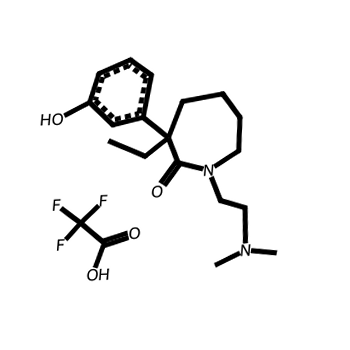 CCC1(c2cccc(O)c2)CCCCN(CCN(C)C)C1=O.O=C(O)C(F)(F)F